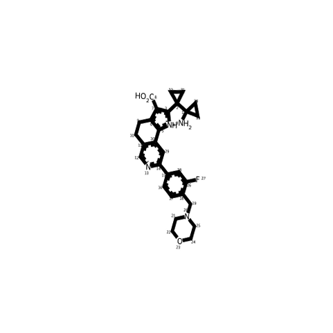 NC1(C2(c3[nH]c4c(c3C(=O)O)CCc3cnc(-c5ccc(CN6CCOCC6)c(F)c5)cc3-4)CC2)CC1